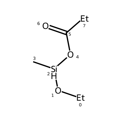 CCO[SiH](C)OC(=O)CC